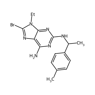 CCn1c(Br)nc2c(N)nc(NC(C)c3ccc(C)cc3)nc21